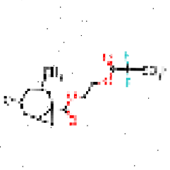 CC1CC(C)CC2(C(=O)OCCOC(=O)C(F)(F)S(=O)(=O)O)CC2C1